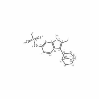 Cc1[nH]c2cc(OS(C)(=O)=O)ccc2c1C1CN2CCC1CC2